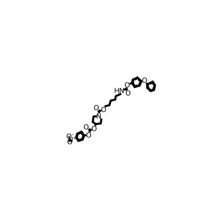 O=C(NCCCCCCOC(=O)N1CCC(OC(=O)Oc2ccc([N+](=O)[O-])cc2)CC1)Oc1ccc(Oc2ccccc2)cc1